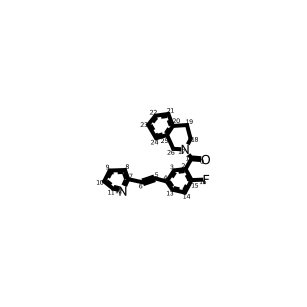 O=C(c1cc(C#Cc2ccccn2)ccc1F)N1CCc2ccccc2C1